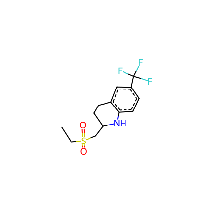 CCS(=O)(=O)CC1CCc2cc(C(F)(F)F)ccc2N1